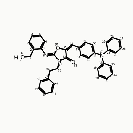 CCc1ccccc1N=C1O/C(=C/c2ccc(N(c3ccccc3)c3ccccc3)cc2)C(=O)N1CCc1ccccc1